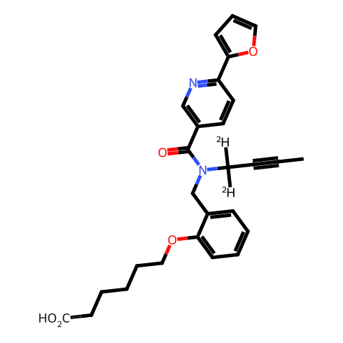 [2H]C([2H])(C#CC)N(Cc1ccccc1OCCCCCC(=O)O)C(=O)c1ccc(-c2ccco2)nc1